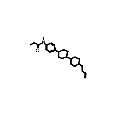 C=CCCC1CCC(C2CCC(c3ccc(N(C)C(=O)CC)cc3)CC2)CC1